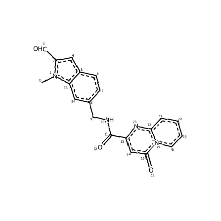 Cn1c(C=O)cc2ccc(CNC(=O)c3cc(=O)n4ccccc4n3)cc21